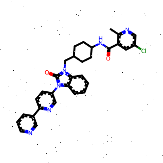 Cc1ncc(Cl)cc1C(=O)NC1CCC(Cn2c(=O)n(-c3ccc(-c4cccnc4)nc3)c3ccccc32)CC1